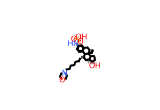 C=CC12CCc3cc(NS(=O)(=O)O)ccc3C1[C@@H](CCCCCCCN1CCOCC1)C[C@@]1(C)C2CC[C@@H]1O